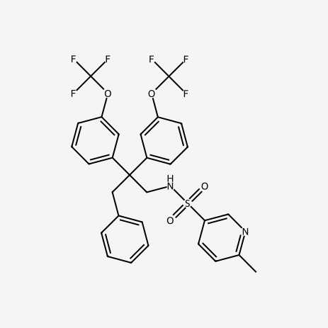 Cc1ccc(S(=O)(=O)NCC(Cc2ccccc2)(c2cccc(OC(F)(F)F)c2)c2cccc(OC(F)(F)F)c2)cn1